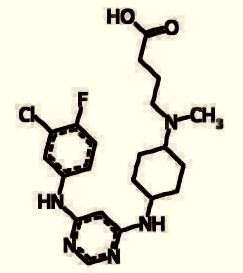 CN(CCCC(=O)O)C1CCC(Nc2cc(Nc3ccc(F)c(Cl)c3)ncn2)CC1